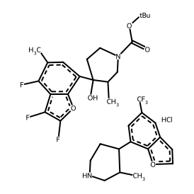 CC1CNCCC1c1cc(C(F)(F)F)cc2ccoc12.Cc1cc(C2(O)CCN(C(=O)OC(C)(C)C)CC2C)c2oc(F)c(F)c2c1F.Cl